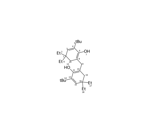 CCC1(CC)C=C(C(C)(C)C)C(O)=C(CC2=C(O)C(C(C)(C)C)=CC(CC)(CC)C2)C1